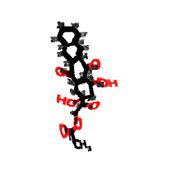 CC(=O)OCC(=O)C1(O)CC2=C(C(=O)c3cc4ccccc4cc3C2=O)C(O)C1